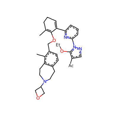 CCOc1c(C(C)=O)cnn1-c1cccc(C2=CCCC(C)=C2OCc2ccc3c(c2C)CCN(C2COC2)CC3)n1